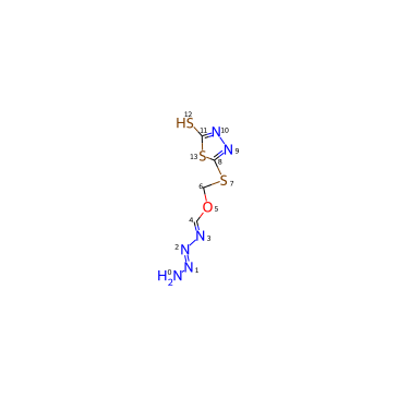 N/N=N/N=C/OCSc1nnc(S)s1